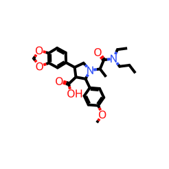 CCCN(CC)C(=O)C(C)N1CC(c2ccc3c(c2)OCO3)C(C(=O)O)C1c1ccc(OC)cc1